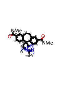 CNC(=O)c1ccc2c(c1)CCc1cc(C(=O)NC)ccc1C2(C[C@H](C)N)c1nnc(C(C)C)[nH]1